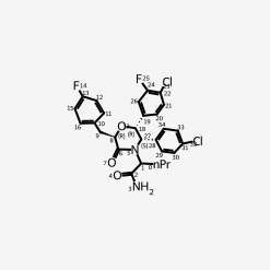 CCCC(C(N)=O)N1C(=O)[C@@H](Cc2ccc(F)cc2)O[C@H](c2ccc(Cl)c(F)c2)[C@@H]1c1ccc(Cl)cc1